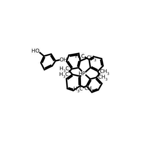 Cc1cccc(C)c1[PH](c1c(C)cccc1C)(c1c(C)cccc1C)c1c(C)cccc1C.Oc1cccc(O)c1